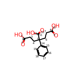 O=C(O)CCC(CCC(=O)O)(C(=O)O)c1ccccc1